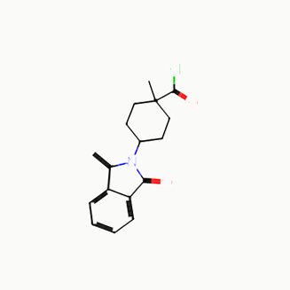 C=C1c2ccccc2C(=O)N1C1CCC(C)(C(=O)Cl)CC1